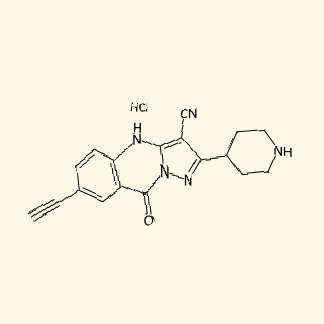 C#Cc1ccc2[nH]c3c(C#N)c(C4CCNCC4)nn3c(=O)c2c1.Cl